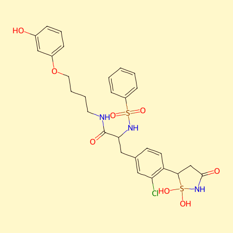 O=C1CC(c2ccc(CC(NS(=O)(=O)c3ccccc3)C(=O)NCCCCOc3cccc(O)c3)cc2Cl)S(O)(O)N1